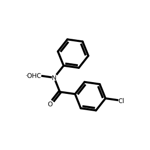 O=[C]N(C(=O)c1ccc(Cl)cc1)c1ccccc1